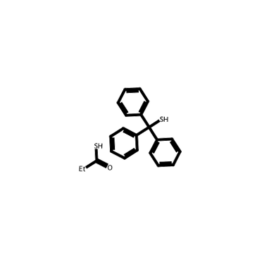 CCC(=O)S.SC(c1ccccc1)(c1ccccc1)c1ccccc1